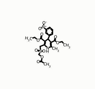 CCOC(=O)C1=C(C)NC(CS(=O)(=O)COC(C)=O)=C(C(=O)OCC)C1c1cccc([N+](=O)[O-])c1